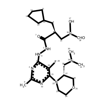 Cc1nc(NNC(=O)[C@@H](CC2CCCC2)CN(O)C=O)c(F)c(N2CCOC[C@H]2CN(C)C)n1